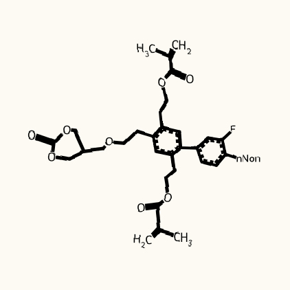 C=C(C)C(=O)OCCc1cc(-c2ccc(CCCCCCCCC)c(F)c2)c(CCOC(=O)C(=C)C)cc1CCOCC1COC(=O)OC1